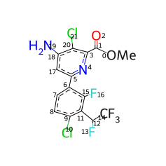 COC(=O)c1nc(-c2ccc(Cl)c(C(F)C(F)(F)F)c2F)cc(N)c1Cl